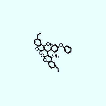 CCc1ccc2oc(=O)c(C(c3ccc(Oc4ccccc4)cc3)c3c(O)c4cc(CC)ccc4oc3=O)c(O)c2c1